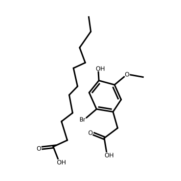 CCCCCCCCCCC(=O)O.COc1cc(CC(=O)O)c(Br)cc1O